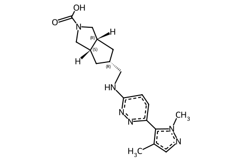 Cc1cnn(C)c1-c1ccc(NC[C@@H]2C[C@@H]3CN(C(=O)O)C[C@@H]3C2)nn1